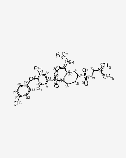 CNC(=O)[C@H]1CN(S(=O)(=O)CCN(C)C)CCN1S(=O)(=O)c1cc(F)c(Oc2ccc(Cl)cc2)c(F)c1